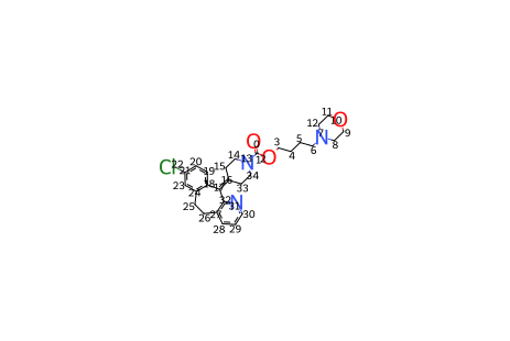 O=C(OCCCCN1CCOCC1)N1CCC(=C2c3ccc(Cl)cc3CCc3cccnc32)CC1